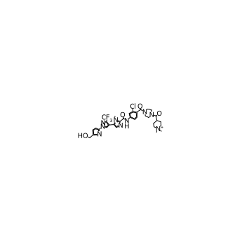 Cn1c(-c2cn(-c3ccc(CO)cn3)nc2C(F)(F)F)cnc1C(=O)Nc1ccc(C(=O)N2CCN(C(=O)C3CC[N+](C)(C)CC3)CC2)c(Cl)c1